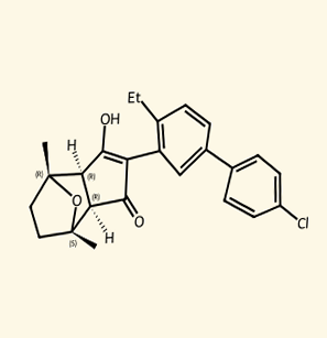 CCc1ccc(-c2ccc(Cl)cc2)cc1C1=C(O)[C@H]2[C@@H](C1=O)[C@]1(C)CC[C@@]2(C)O1